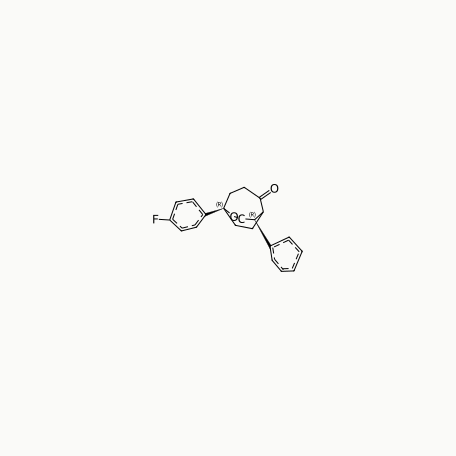 O=C1CC[C@@]2(c3ccc(F)cc3)CCC1[C@H](c1ccccc1)CO2